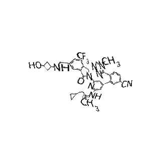 C[C@@H](CC1CC1)Nc1cc(-c2cc(C#N)ccc2-c2nncn2C)cc(N2Cc3c(cc(CN[C@H]4C[C@@H](O)C4)cc3C(F)(F)F)C2=O)n1